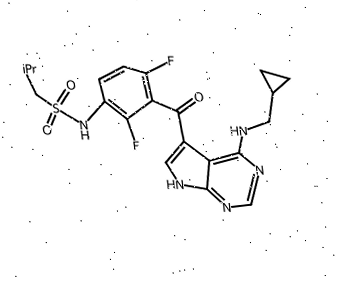 CC(C)CS(=O)(=O)Nc1ccc(F)c(C(=O)c2c[nH]c3ncnc(NCC4CC4)c23)c1F